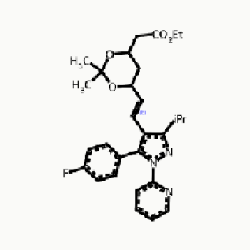 CCOC(=O)CC1CC(/C=C/c2c(C(C)C)nn(-c3ccccn3)c2-c2ccc(F)cc2)OC(C)(C)O1